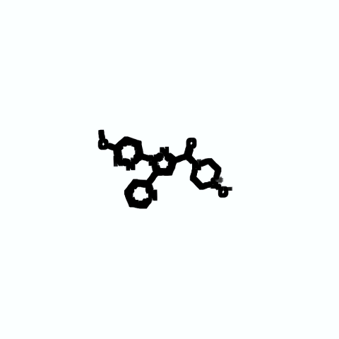 COc1ccc(-n2nc(C(=O)N3CC[S+]([O-])CC3)cc2-c2ccccn2)nn1